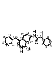 O=C(Nc1cccnc1)Nc1ccc2c(Cc3cccnc3)n[nH]c(=O)c2c1